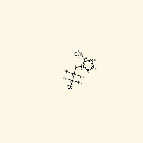 CCC(F)(F)C(F)(F)Cn1ccnc1[N+](=O)[O-]